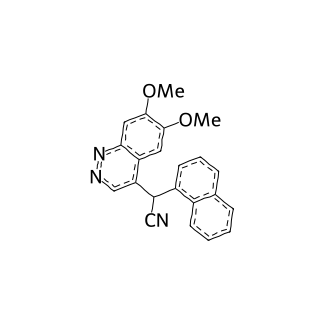 COc1cc2nncc(C(C#N)c3cccc4ccccc34)c2cc1OC